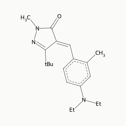 CCN(CC)c1ccc(C=C2C(=O)N(C)N=C2C(C)(C)C)c(C)c1